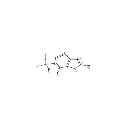 Fc1c(C(F)(F)F)ccc2nc(Cl)sc12